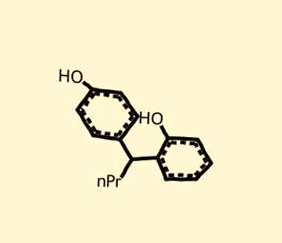 CCCC(c1ccc(O)cc1)c1ccccc1O